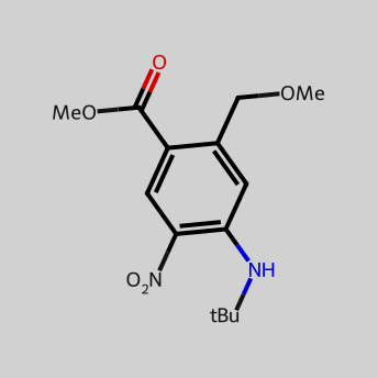 COCc1cc(NC(C)(C)C)c([N+](=O)[O-])cc1C(=O)OC